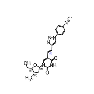 [C-]#[N+]c1ccc(-n2cc(/C=C/c3cn([C@H]4C[C@@H](C)[C@@H](CO)O4)c(=O)[nH]c3=O)nn2)cc1